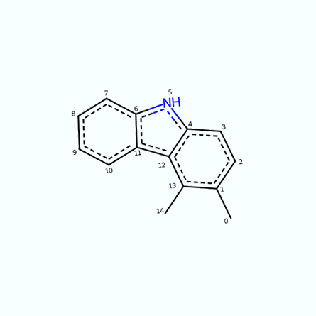 Cc1ccc2[nH]c3ccccc3c2c1C